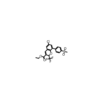 CCOC(=O)C1=Cc2cc(Cl)cc(-c3ccc(S(C)(=O)=O)cc3)c2OC1C(F)(F)F